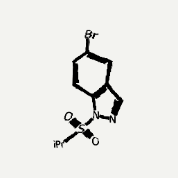 CC(C)S(=O)(=O)n1ncc2cc(Br)ccc21